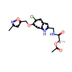 CC(=O)O[C@@H](C)C(=O)NCc1cc2cc(Cl)c(OCc3cc(C)no3)cc2[nH]1